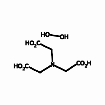 O=C(O)CN(CC(=O)O)CC(=O)O.OO